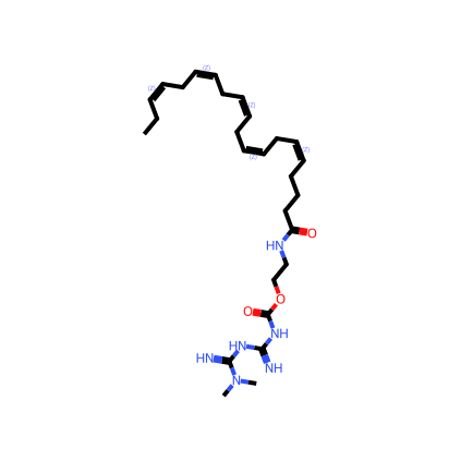 CC/C=C\C/C=C\C/C=C\C/C=C\C/C=C\CCCC(=O)NCCOC(=O)NC(=N)NC(=N)N(C)C